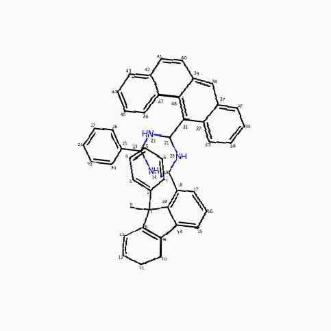 CC1(c2ccccc2)C2=C(CCC=C2)c2cccc(CNC(NC(N)c3ccccc3)c3c4ccccc4cc4ccc5ccccc5c34)c21